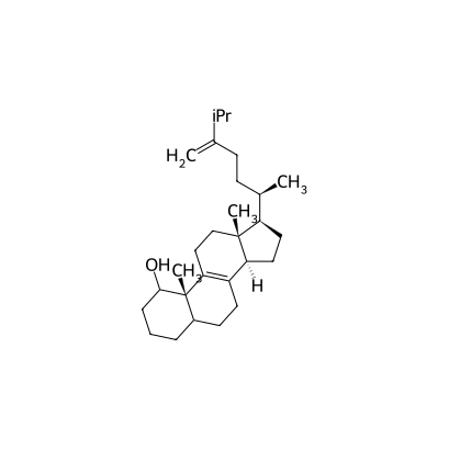 C=C(CC[C@@H](C)[C@H]1CC[C@H]2C3=C(CC[C@]12C)[C@@]1(C)C(O)CCCC1CC3)C(C)C